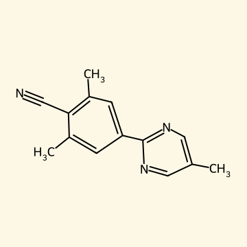 Cc1cnc(-c2cc(C)c(C#N)c(C)c2)nc1